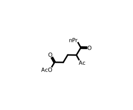 CCCC(=O)C(CCC(=O)OC(C)=O)C(C)=O